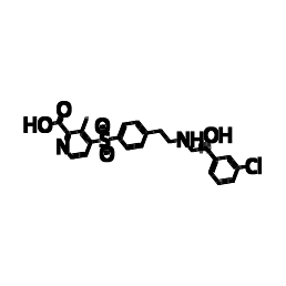 Cc1c(S(=O)(=O)c2ccc(CCNC[C@H](O)c3cccc(Cl)c3)cc2)ccnc1C(=O)O